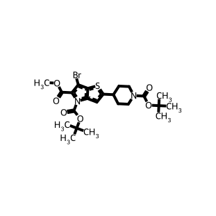 COC(=O)c1c(Br)c2sc(C3CCN(C(=O)OC(C)(C)C)CC3)cc2n1C(=O)OC(C)(C)C